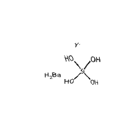 O[Si](O)(O)O.[BaH2].[Y]